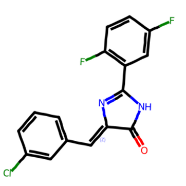 O=C1NC(c2cc(F)ccc2F)=N/C1=C\c1cccc(Cl)c1